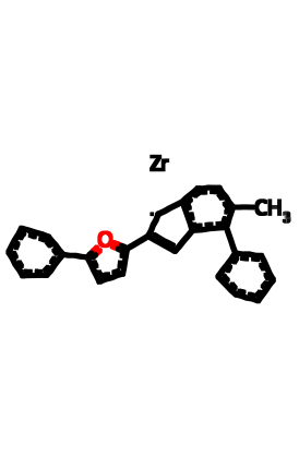 Cc1ccc2c(c1-c1ccccc1)C=C(c1ccc(-c3ccccc3)o1)[CH]2.[Zr]